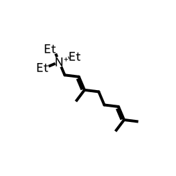 CC[N+](CC)(CC)C/C=C(\C)CCC=C(C)C